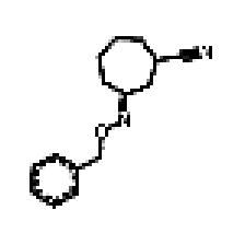 N#CC1CCCCC(=NOCc2ccccc2)C1